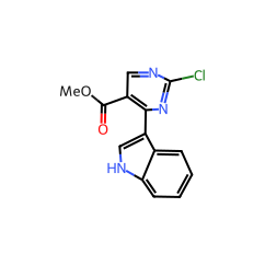 COC(=O)c1cnc(Cl)nc1-c1c[nH]c2ccccc12